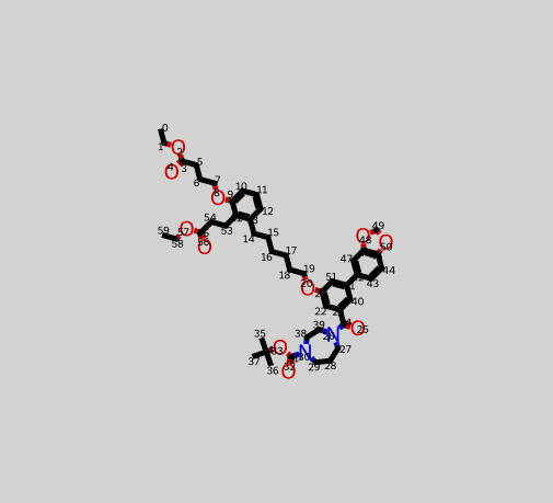 CCOC(=O)CCCOc1cccc(CCCCCCOc2cc(C(=O)N3CCCN(C(=O)OC(C)(C)C)CC3)cc(-c3ccc4c(c3)OCO4)c2)c1CCC(=O)OCC